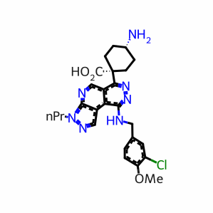 CCCn1ncc2c3c(NCc4ccc(OC)c(Cl)c4)nnc([C@]4(C(=O)O)CC[C@@H](N)CC4)c3cnc21